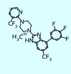 C[C@@H]1CN(c2nc[c]cc2C(F)(F)F)CCN1c1nc2c(-c3cc(F)c(F)c(F)c3)cc(C(F)(F)F)cc2[nH]1